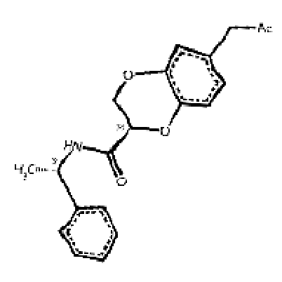 CC(=O)Cc1ccc2c(c1)OC[C@H](C(=O)N[C@@H](C)c1ccccc1)O2